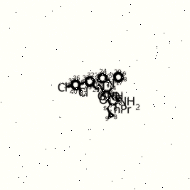 CCC[C@H](C(N)=O)[C@@H](CC1CC1)C(=O)NC1CN(c2ccccc2)c2ccccc2N(Cc2cccc(-c3ccc(Cl)cc3Cl)c2)C1=O